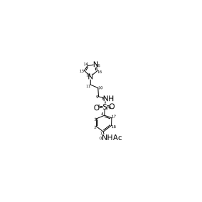 CC(=O)Nc1ccc(S(=O)(=O)NCCCn2ccnc2)cc1